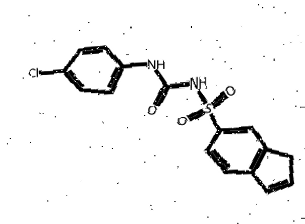 O=C(Nc1ccc(Cl)cc1)NS(=O)(=O)c1ccc2c(c1)CC=C2